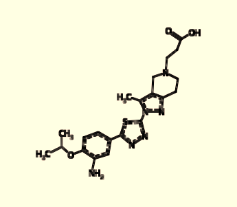 Cc1c2c(nn1-c1nnc(-c3ccc(OC(C)C)c(N)c3)s1)CCN(CCC(=O)O)C2